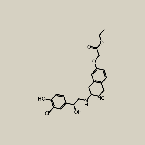 CCOC(=O)COc1ccc2c(c1)CC(NC[C@@H](O)c1ccc(O)c(Cl)c1)CC2.Cl